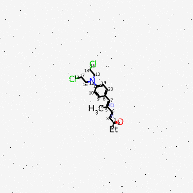 CCC(=O)/C=C/C(C)=C/c1ccc(N(CCCl)CCCl)cc1